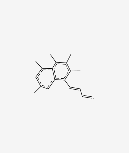 [CH]=C/C=C/c1c(C)c(C)c(C)c2c(C)cc(C)cc12